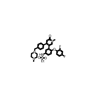 CCS(=O)(=O)Nc1ccc(Oc2ccc(F)cc2F)c(-c2cn(C)c(=O)cc2-c2ccc(CN3CCN(C)CC3)cc2)c1